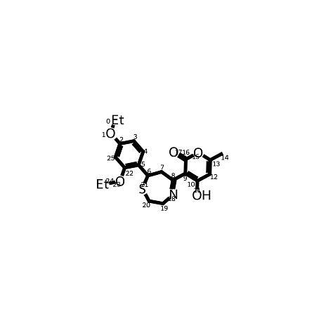 CCOc1ccc(C2CC(c3c(O)cc(C)oc3=O)=NCCS2)c(OCC)c1